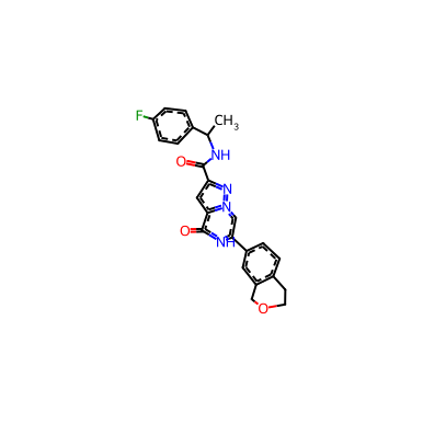 CC(NC(=O)c1cc2c(=O)[nH]c(-c3ccc4c(c3)COCC4)cn2n1)c1ccc(F)cc1